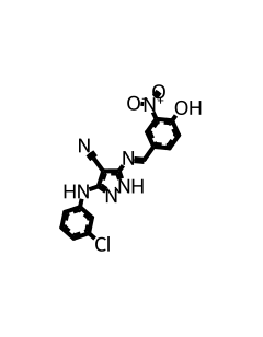 N#Cc1c(Nc2cccc(Cl)c2)n[nH]c1/N=C/c1ccc(O)c([N+](=O)[O-])c1